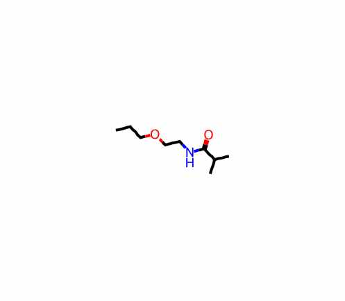 CCCOCCNC(=O)C(C)C